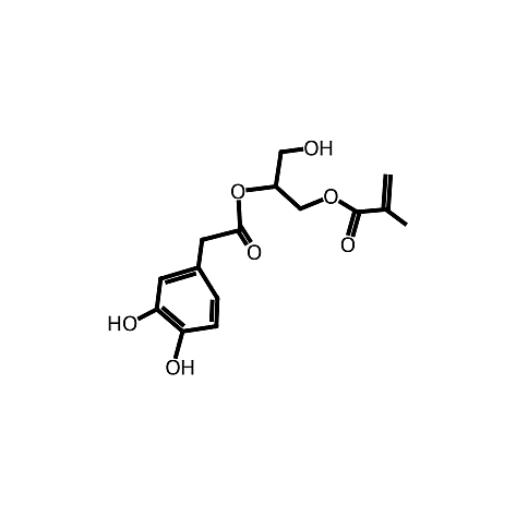 C=C(C)C(=O)OCC(CO)OC(=O)Cc1ccc(O)c(O)c1